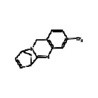 FC(F)(F)c1ccc2c(c1)N=C1C3C=CC(C3)N1C2